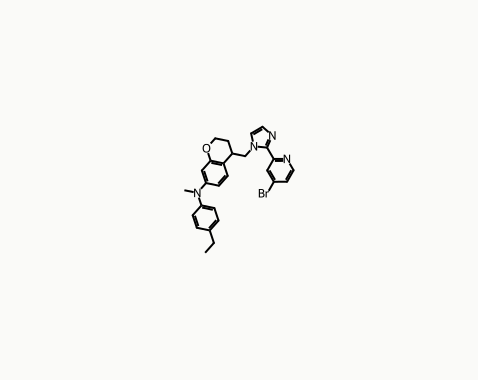 CCc1ccc(N(C)c2ccc3c(c2)OCCC3Cn2ccnc2-c2cc(Br)ccn2)cc1